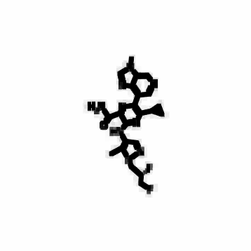 Cc1c(Nc2nc(C3CC3)c(-c3cncc4c3ncn4C)nc2C(N)=O)cnn1C[C@H](F)CF